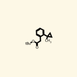 CC(C)(C)OC(=O)Cc1ccccc1C1(C)CC1